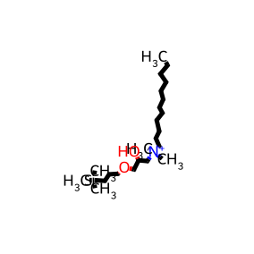 CCCCCCCCCCCC[N+](C)(C)CC(O)COCCC[Si](C)(C)C